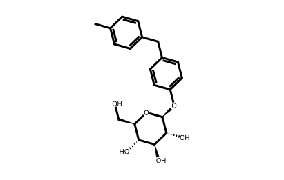 Cc1ccc(Cc2ccc(O[C@@H]3O[C@H](CO)[C@@H](O)[C@H](O)[C@H]3O)cc2)cc1